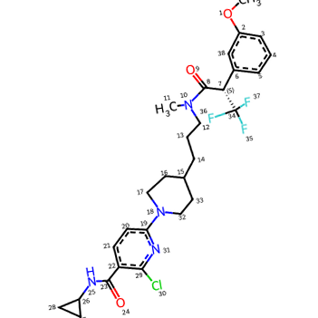 COc1cccc([C@@H](C(=O)N(C)CCCC2CCN(c3ccc(C(=O)NC4CC4)c(Cl)n3)CC2)C(F)(F)F)c1